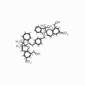 CC1(C)c2ccccc2N(Cc2ccc(CN3c4ccccc4C(C)(C)C34C=Cc3cc([N+](=O)[O-])cc(CO)c3O4)cc2)C12C=Cc1cc([N+](=O)[O-])cc(CO)c1O2